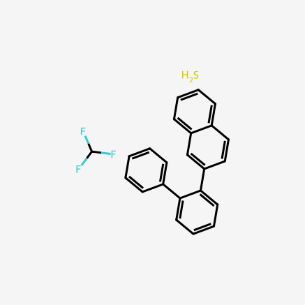 FC(F)F.S.c1ccc(-c2ccccc2-c2ccc3ccccc3c2)cc1